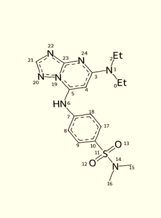 CCN(CC)c1cc(Nc2ccc(S(=O)(=O)N(C)C)cc2)n2ncnc2n1